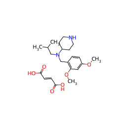 COc1ccc(CN(CC(C)C)C2CCNCC2)c(OC)c1.O=C(O)C=CC(=O)O